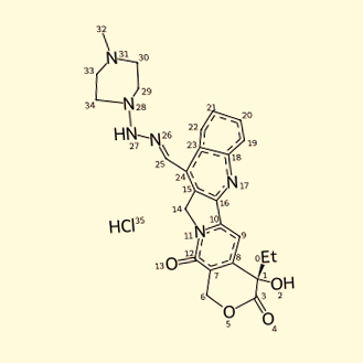 CC[C@@]1(O)C(=O)OCc2c1cc1n(c2=O)Cc2c-1nc1ccccc1c2C=NNN1CCN(C)CC1.Cl